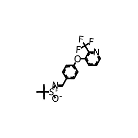 CC(C)(C)[S+]([O-])/N=C/c1ccc(Oc2cccnc2C(F)(F)F)cc1